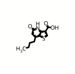 CCCCc1cc(=O)[nH]c2c(C(=O)O)csc12